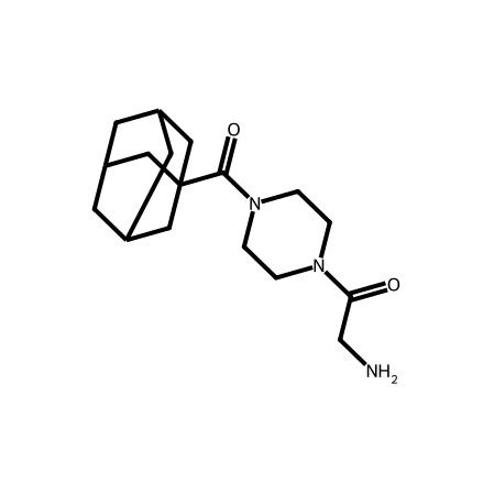 NCC(=O)N1CCN(C(=O)C23CC4CC(CC(C4)C2)C3)CC1